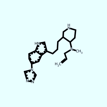 C=CCN(C)C1CCNCC1CCCc1c[nH]c2ccc(-n3cnnc3)cc12